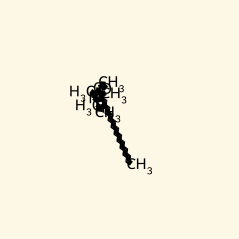 CCCCCCCCCCCCCCCCCC(Cc1cnc(C)c(OC(C)=O)c1C)N(C)C